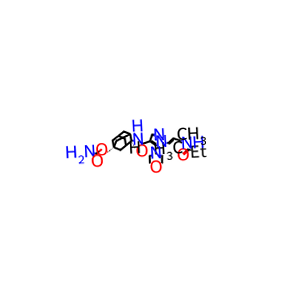 CCC(=O)NC(C)(C)/C=C/n1ncc(C(=O)N[C@H]2C3CC4CC2C[C@](COC(N)=O)(C4)C3)c1N1CCOCC1